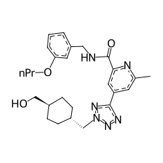 CCCOc1cccc(CNC(=O)c2cc(-c3nnn(C[C@H]4CC[C@H](CO)CC4)n3)cc(C)n2)c1